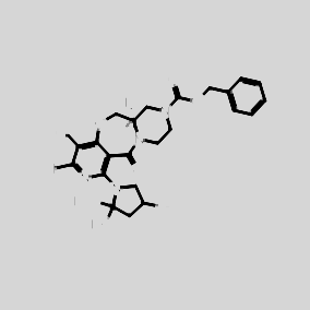 CC1(C)CC(O)CN1c1nc(Cl)c(Cl)c2c1C(=O)N1CCN(C(=O)OCc3ccccc3)C[C@@H]1CO2